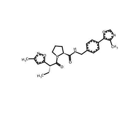 CC[C@@H](C(=O)N1CCC[C@H]1C(=O)NCc1ccc(-c2ocnc2C)cc1)c1cc(C)no1